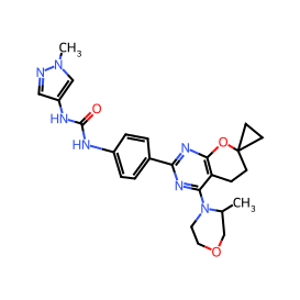 CC1COCCN1c1nc(-c2ccc(NC(=O)Nc3cnn(C)c3)cc2)nc2c1CCC1(CC1)O2